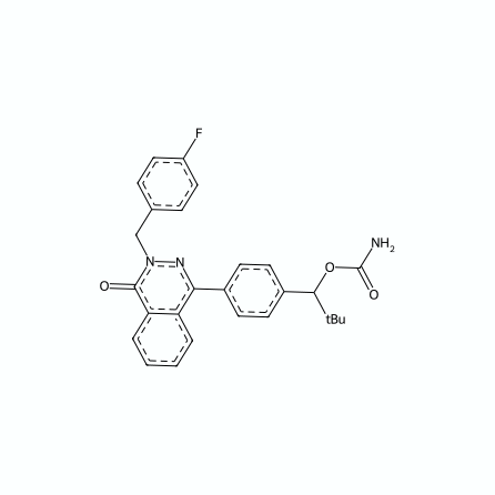 CC(C)(C)C(OC(N)=O)c1ccc(-c2nn(Cc3ccc(F)cc3)c(=O)c3ccccc23)cc1